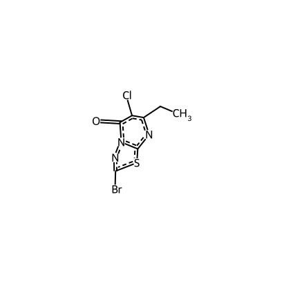 CCc1nc2sc(Br)nn2c(=O)c1Cl